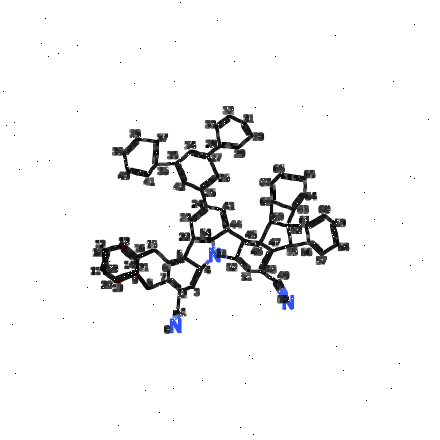 N#Cc1cc2c(c3c1C1c4ccccc4C3c3ccccc31)c1cc(-c3cc(-c4ccccc4)cc(-c4ccccc4)c3)cc3c4c5c(c(C#N)cc4n2c13)C1c2ccccc2C12c1ccccc1C52